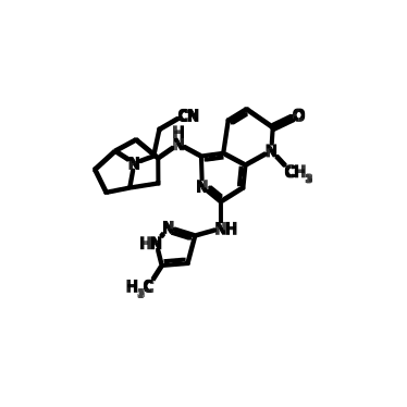 Cc1cc(Nc2cc3c(ccc(=O)n3C)c(NC3CC4CCC(C3)N4CCC#N)n2)n[nH]1